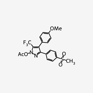 COc1ccc(-c2c(-c3ccc(S(C)(=O)=O)cc3)nn(OC(C)=O)c2C(F)(F)F)cc1